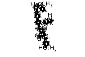 CC(C)c1ccccc1[C@@H]1COCCN1C1CC2(CCN(c3ccc(C(=O)NS(=O)(=O)c4cc5c(c([N+](=O)[O-])n4)N[C@@H](C4CCC(C)(O)CC4)CO5)c(Oc4cnc5[nH]ccc5c4)c3)CC2)C1